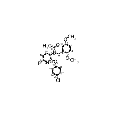 COc1ccc(OC)c(CN(C(C)=O)c2ccc(F)nc2Oc2ccc(Cl)cc2)c1